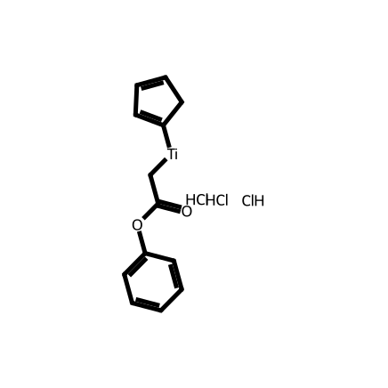 Cl.Cl.Cl.O=C([CH2][Ti][C]1=CC=CC1)Oc1ccccc1